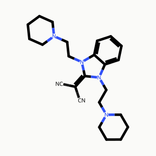 N#CC(C#N)=C1N(CCN2CCCCC2)c2ccccc2N1CCN1CCCCC1